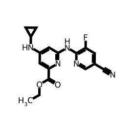 CCOC(=O)c1cc(NC2CC2)cc(Nc2ncc(C#N)cc2F)n1